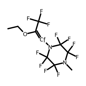 CCO/[C](=[Cf]\[N]1C(F)(F)C(F)(F)N(C)C(F)(F)C1(F)F)C(F)(F)F